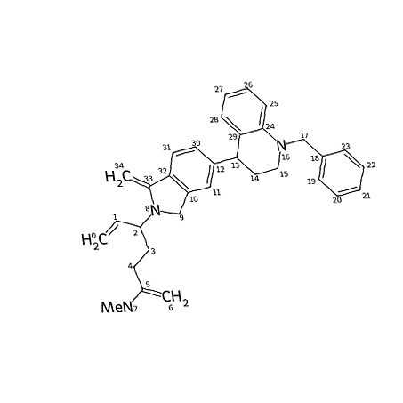 C=CC(CCC(=C)NC)N1Cc2cc(C3CCN(Cc4ccccc4)c4ccccc43)ccc2C1=C